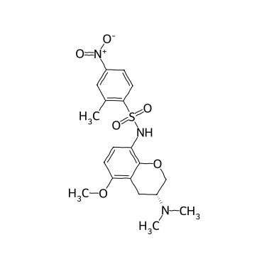 COc1ccc(NS(=O)(=O)c2ccc([N+](=O)[O-])cc2C)c2c1C[C@@H](N(C)C)CO2